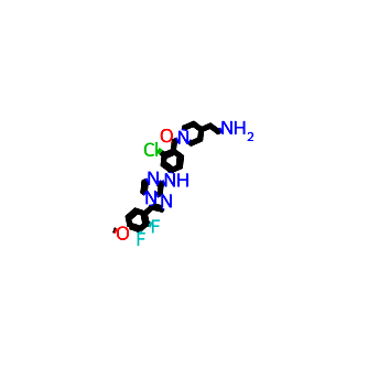 COc1ccc(-c2cnc3c(Nc4ccc(C(=O)N5CCC(CCN)CC5)c(Cl)c4)nccn23)c(F)c1F